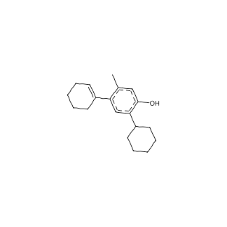 Cc1cc(O)c(C2CCCCC2)cc1C1=CCCCC1